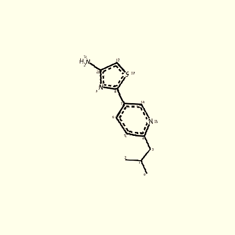 CC(C)Cc1ccc(-c2nc(N)cs2)cn1